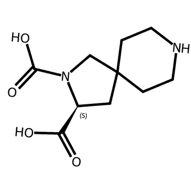 O=C(O)[C@@H]1CC2(CCNCC2)CN1C(=O)O